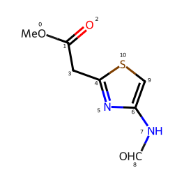 COC(=O)Cc1nc(NC=O)cs1